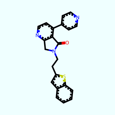 O=C1c2c(-c3ccncc3)ccnc2CN1CCc1cc2ccccc2s1